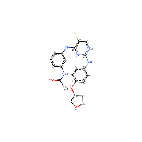 CC(=O)Nc1cccc(Nc2nc(Nc3ccc(O[C@H]4CCOC4)cc3)ncc2F)c1